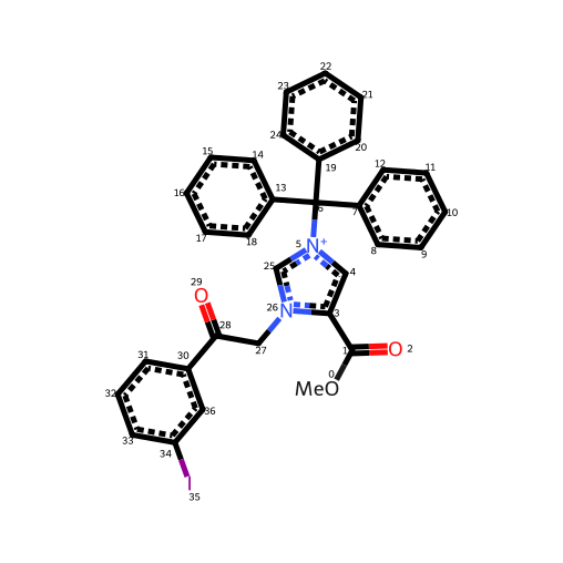 COC(=O)c1c[n+](C(c2ccccc2)(c2ccccc2)c2ccccc2)cn1CC(=O)c1cccc(I)c1